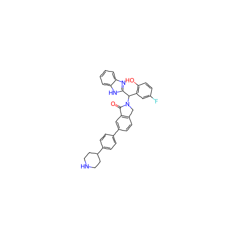 O=C1c2cc(-c3ccc(C4CCNCC4)cc3)ccc2CN1C(c1nc2ccccc2[nH]1)c1cc(F)ccc1O